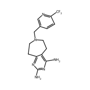 Nc1nc(N)c2c(n1)CCN(Cc1ccc(C(F)(F)F)nc1)CC2